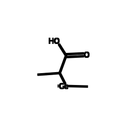 [CH3][Ge][CH](C)C(=O)O